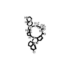 C[C@@H]1[C@@H](C)CCC[C@](O)(CN2CCN3CCNC[C@H]3C2)[C@@H]2CC[C@H]2CN2C[C@@]3(CCCc4cc(Cl)ccc43)COc3ccc(cc32)C(=O)NS1(=O)=O